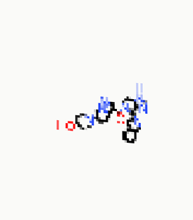 O=C(c1cnn2cc(N3CCC(O)CC3)ccc12)N1CCc2[nH]cnc2[C@H]1c1cc2ccccc2cn1